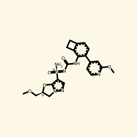 COC[C@@H]1Cn2ncc([S@](N)(=O)=NC(=O)Nc3c(-c4ccnc(OC)c4)ccc4c3CC4)c2O1